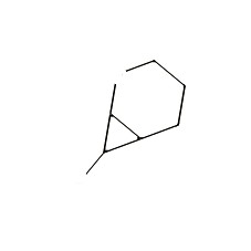 [2H]C1C2CCCOC12